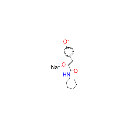 COC(=Cc1ccc([O-])cc1)C(=O)NC1CCCCC1.[Na+]